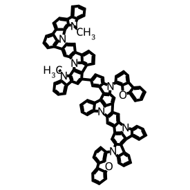 Cn1c2ccccc2c2ccc3c4cccc5c6cc7c(cc6n(c54)c3c21)c1cccc2c3c(-c4ccc5c(c4)c4c6c8ccccc8n8c9cc%10c%11cc%12c(c%13ccccc%13n%12-c%12cccc%13c%12oc%12ccccc%12%13)c%12c%13ccccc%13n(c%10cc9c(cc4n5-c4cccc5c4oc4ccccc45)c68)c%11%12)cc4c5ccccc5n(C)c4c3n7c12